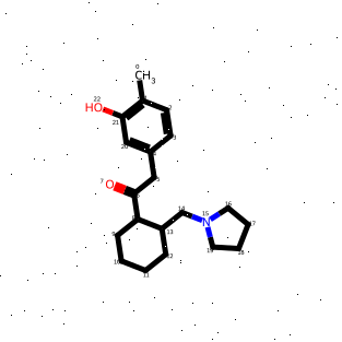 Cc1ccc(CC(=O)C2CCCCC2CN2CCCC2)cc1O